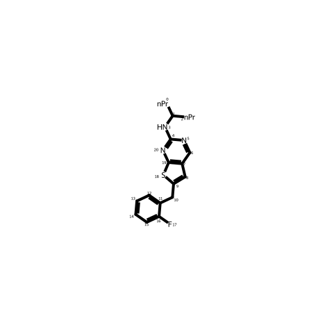 CCCC(CCC)Nc1ncc2cc(Cc3ccccc3F)sc2n1